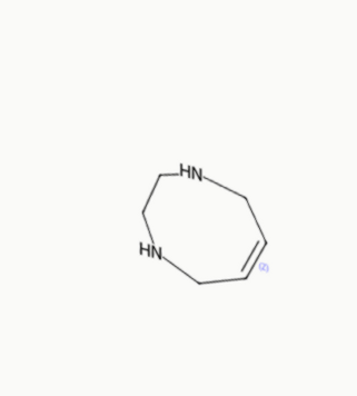 C1=C\CNCCNC/1